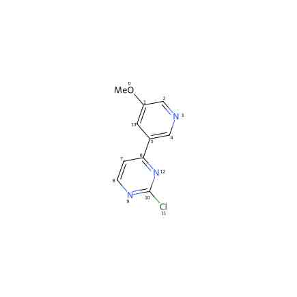 COc1cncc(-c2ccnc(Cl)n2)c1